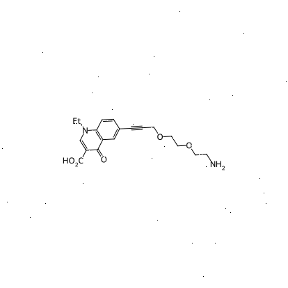 CCn1cc(C(=O)O)c(=O)c2cc(C#CCOCCOCCN)ccc21